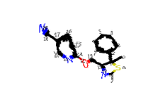 CC1(c2ccccc2)SCN=C1COc1ccc(C#N)cn1